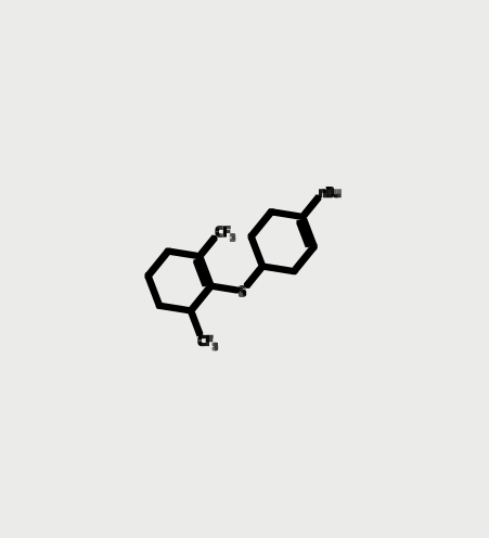 CCCCC1=CCC(SC2=C(C(F)(F)F)CCCC2C(F)(F)F)CC1